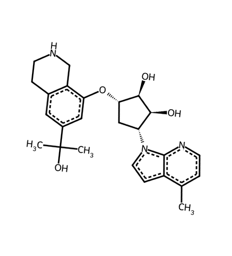 Cc1ccnc2c1ccn2[C@@H]1C[C@H](Oc2cc(C(C)(C)O)cc3c2CNCC3)[C@@H](O)[C@H]1O